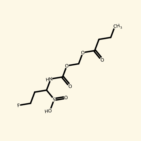 CCCC(=O)OCOC(=O)NC(CCF)S(=O)O